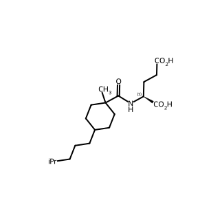 CC(C)CCCC1CCC(C)(C(=O)N[C@@H](CCC(=O)O)C(=O)O)CC1